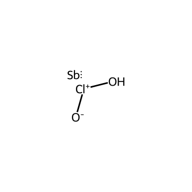 [O-][Cl+]O.[Sb]